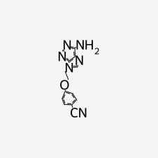 N#Cc1ccc(OCCn2cnc3c(N)ncnc32)cc1